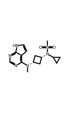 CN(c1ncnc2[nH]ccc12)[C@H]1C[C@@H](N(C2CC2)S(C)(=O)=O)C1